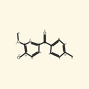 COc1nc(C(=O)c2ccc(C)cc2)ccc1Cl